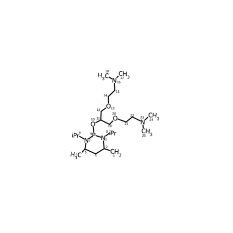 CC(C)N1C(C)CC(C)N(C(C)C)P1OC(COCCN(C)C)COCCN(C)C